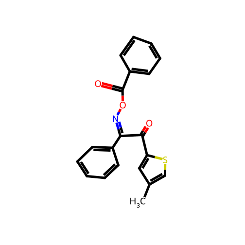 Cc1csc(C(=O)C(=NOC(=O)c2ccccc2)c2ccccc2)c1